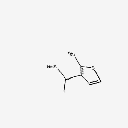 CSC(C)c1ccsc1C(C)(C)C